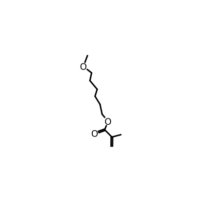 C=C(C)C(=O)OCCCCCCOC